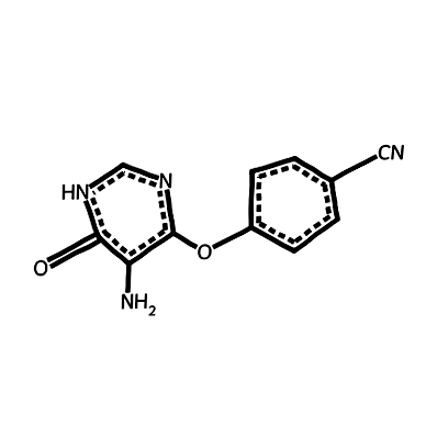 N#Cc1ccc(Oc2nc[nH]c(=O)c2N)cc1